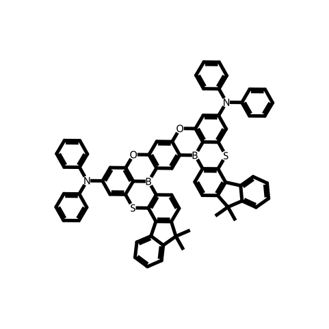 CC1(C)c2ccccc2-c2c1ccc1c2Sc2cc(N(c3ccccc3)c3ccccc3)cc3c2B1c1cc2c(cc1O3)Oc1cc(N(c3ccccc3)c3ccccc3)cc3c1B2c1ccc2c(c1S3)-c1ccccc1C2(C)C